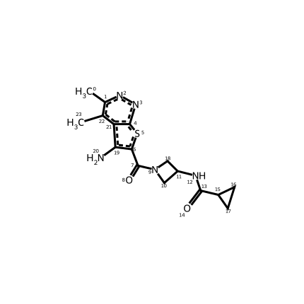 Cc1nnc2sc(C(=O)N3CC(NC(=O)C4CC4)C3)c(N)c2c1C